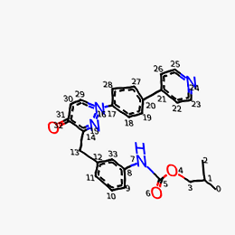 CC(C)COC(=O)Nc1cccc(Cc2nn(-c3ccc(-c4ccncc4)cc3)ccc2=O)c1